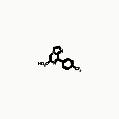 O=C(O)c1cn2ccnc2c(-c2ccc(C(F)(F)F)cc2)n1